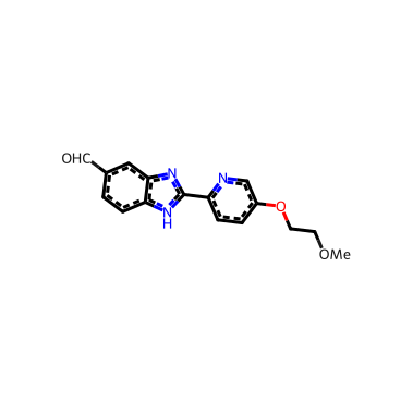 COCCOc1ccc(-c2nc3cc(C=O)ccc3[nH]2)nc1